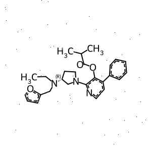 CCN(Cc1ccco1)[C@@H]1CCN(c2nccc(-c3ccccc3)c2OC(=O)C(C)C)C1